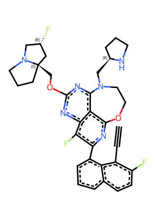 C#Cc1c(F)ccc2cccc(-c3nc4c5c(nc(OC[C@@]67CCCN6C[C@H](F)C7)nc5c3F)N(C[C@H]3CCCN3)CCO4)c12